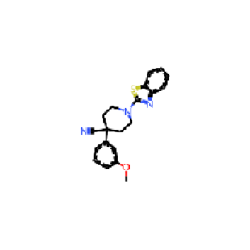 COc1cccc(C2(C#N)CCN(c3nc4ccccc4s3)CC2)c1